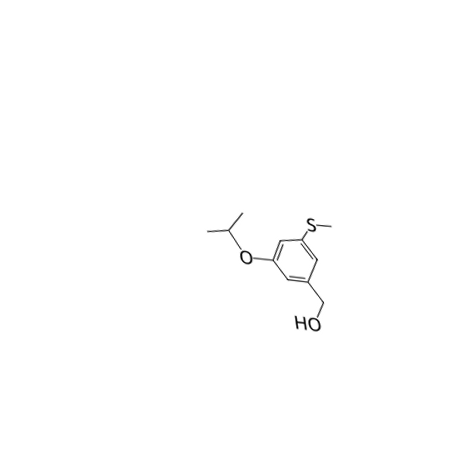 CSc1cc(CO)cc(OC(C)C)c1